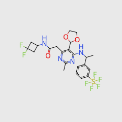 Cc1nc(CC(=O)NC2CC(F)(F)C2)c(C2OCCO2)c(NC(C)c2cccc(S(F)(F)(F)(F)F)c2)n1